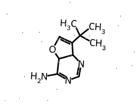 CC(C)(C)C1=COC2C(N)=NC=NC12